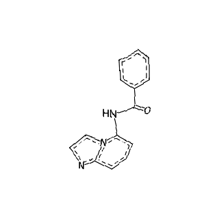 O=C(Nc1cccc2nccn12)c1ccccc1